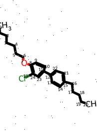 CCCCCCCOc1ccc(-c2ccc(CCCCC)cc2)cc1Cl